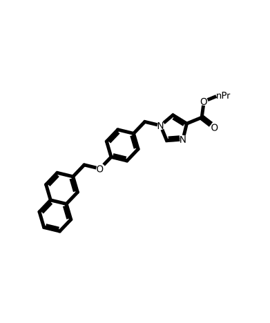 CCCOC(=O)c1cn(Cc2ccc(OCc3ccc4ccccc4c3)cc2)cn1